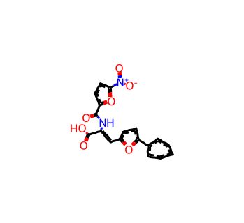 O=C(O)C(=Cc1ccc(-c2ccccc2)o1)NC(=O)c1ccc([N+](=O)[O-])o1